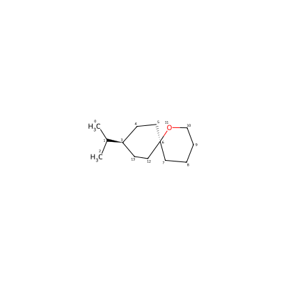 CC(C)[C@H]1CC[C@]2(CCCCO2)CC1